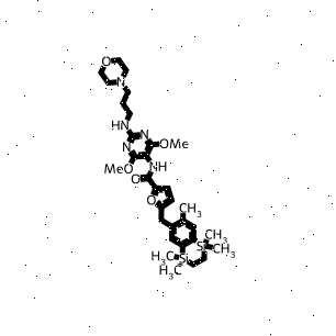 COc1nc(NCCCN2CCOCC2)nc(OC)c1NC(=O)c1ccc(Cc2cc3c(cc2C)[Si](C)(C)CC[Si]3(C)C)o1